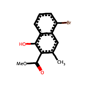 COC(=O)c1c(C)cc2c(Br)cccc2c1O